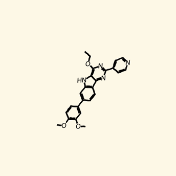 CCOc1nc(-c2ccncc2)nc2c1[nH]c1cc(-c3ccc(OC)c(OC)c3)ccc12